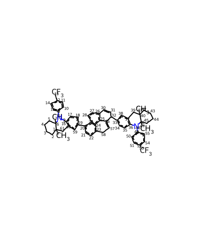 CC12CCCCC1(C)N(c1ccc(C(F)(F)F)cc1)c1ccc(-c3ccc4c5c6c(ccc35)C=CC(c3ccc5c(c3)CC3(C)CCCCC3(C)N5c3ccc(C(F)(F)F)cc3)C6=CC4)cc1C2